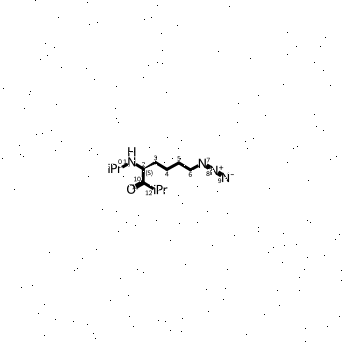 CC(C)N[C@@H](CCCCN=[N+]=[N-])C(=O)C(C)C